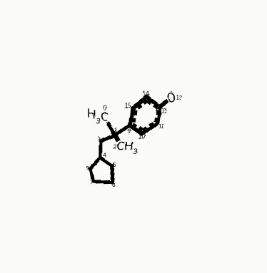 CC(C)(CC1CCCC1)c1ccc([O])cc1